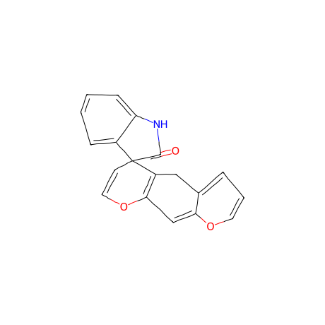 O=C1Nc2ccccc2C12C=COC1=C2CC2=CC=COC2=C1